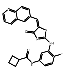 O=C1N=C(Nc2cc(NC(=O)C3CCC3)ccc2Cl)SC1=Cc1ccc2ncccc2c1